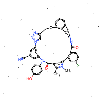 Cc1c2cc(n1C)-c1cc(Cl)ccc1C(=O)N1CCc3c(cccc3C1)CCc1cn(nn1)-c1cc(C#N)cc(c1)N(c1ccc(O)cc1)C2=O